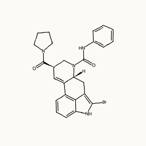 O=C([C@@H]1C=C2c3cccc4[nH]c(Br)c(c34)C[C@H]2N(C(=O)Nc2ccccc2)C1)N1CCCC1